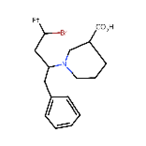 CCC(Br)CC(Cc1ccccc1)N1CCCC(C(=O)O)C1